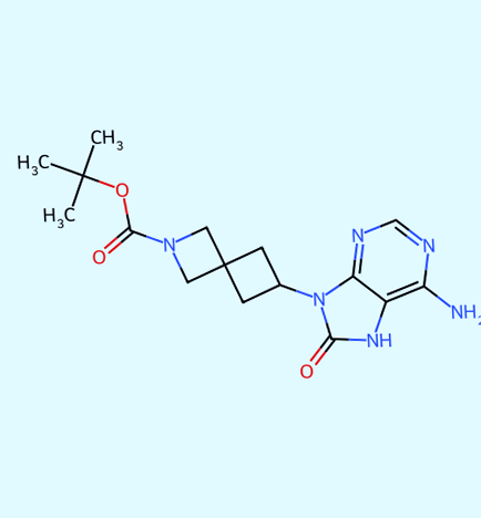 CC(C)(C)OC(=O)N1CC2(CC(n3c(=O)[nH]c4c(N)ncnc43)C2)C1